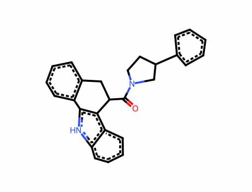 O=C(C1Cc2ccccc2-c2[nH]c3ccccc3c21)N1CCC(c2ccccc2)C1